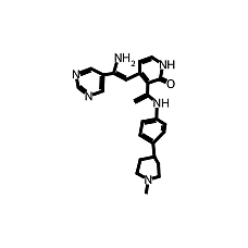 C=C(Nc1ccc(C2CCN(C)CC2)cc1)c1c(/C=C(\N)c2cncnc2)cc[nH]c1=O